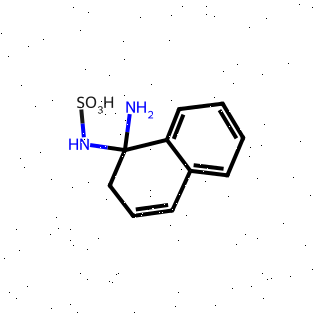 NC1(NS(=O)(=O)O)CC=Cc2ccccc21